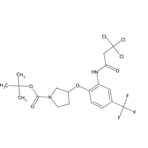 CC(C)(C)OC(=O)N1CCC(Oc2ccc(C(F)(F)F)cc2NC(=O)CC(Cl)(Cl)Cl)C1